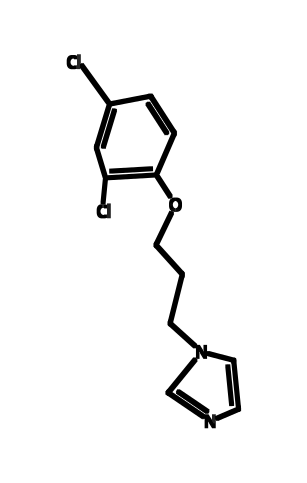 Clc1ccc(OCCCn2ccnc2)c(Cl)c1